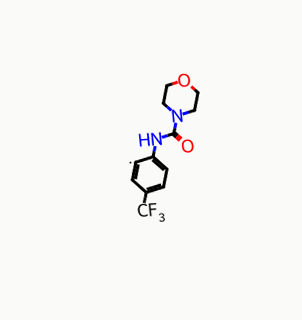 O=C(Nc1[c]cc(C(F)(F)F)cc1)N1CCOCC1